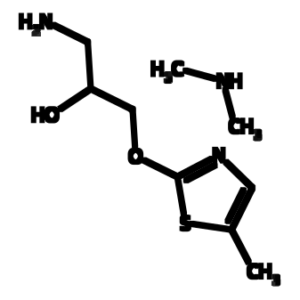 CNC.Cc1cnc(OCC(O)CN)s1